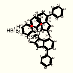 Br.Br.CC1=Cc2c(-c3ccccc3)cccc2[CH]1[Ti](=[SiH2])([c]1ccccc1)([c]1ccccc1)[CH]1C(C)=Cc2c(-c3ccccc3)cccc21